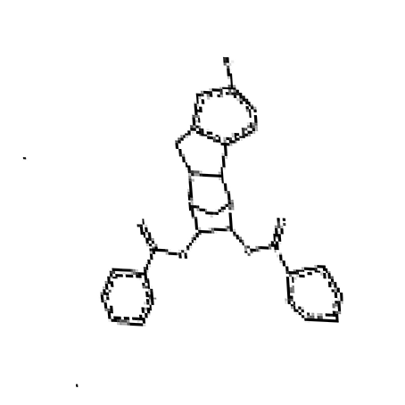 O=C(OC1C2CC(C1OC(=O)c1ccccc1)C1c3ccc(Br)cc3CC21)c1ccccc1